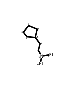 CCN(CC)CC[C]1CCCC1